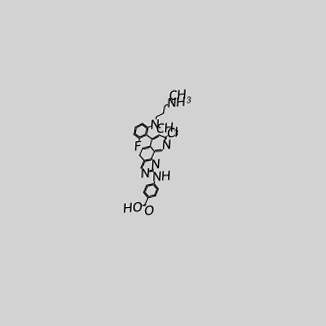 CNCCCN(C)c1cccc(F)c1C1=CC(Cl)=NC=C2C1=CCc1cnc(Nc3ccc(C(=O)O)cc3)nc12